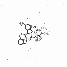 CC[C@H](C)C(NC(=O)[C@H](C)N(C)C(=O)OC(C)(C)C)C(=O)N1Cc2ccc(N)cc2C1C(=O)Nc1c(F)cccc1F